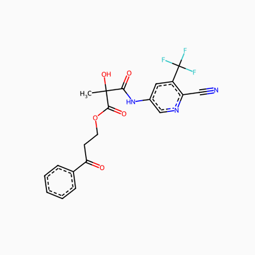 CC(O)(C(=O)Nc1cnc(C#N)c(C(F)(F)F)c1)C(=O)OCCC(=O)c1ccccc1